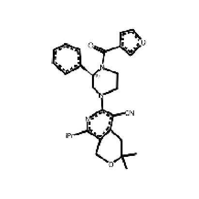 CC(C)c1nc(N2CCN(C(=O)c3ccoc3)[C@H](c3ccccc3)C2)c(C#N)c2c1COC(C)(C)C2